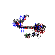 CCCNC(=O)Nc1cccc(S(=O)(=O)Nc2cccc([C@@H](CC(=O)O)NC(=O)Nc3ccc(NC(=O)NCCOCCOCCOCCC(=O)N[C@@H](CC(=O)OCCC[N+](C)(C)C)C(=O)N4CCC[C@H]4C(=O)N[C@H](C(=O)O[C@]4(CC)C(=O)OCc5c4cc4n(c5=O)Cc5c-4nc4ccccc4c5CC)C(C)C)cc3)c2)c1.O=C([O-])C(F)(F)F